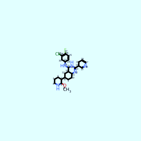 COC1NCCCC1C1CCC2N=C(C3C=NC=CC3)NC(NC3C=CC(F)=C(Cl)C3)C2C1